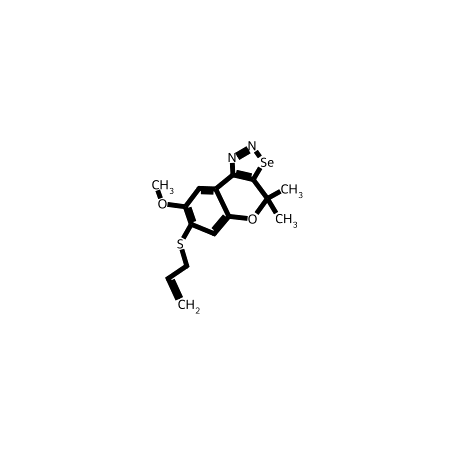 C=CCSc1cc2c(cc1OC)-c1nn[se]c1C(C)(C)O2